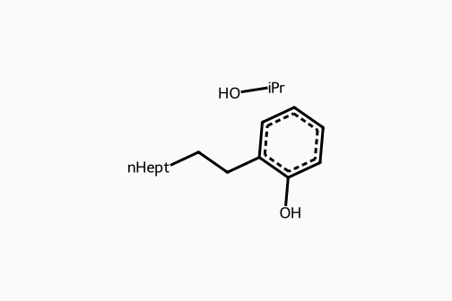 CC(C)O.CCCCCCCCCc1ccccc1O